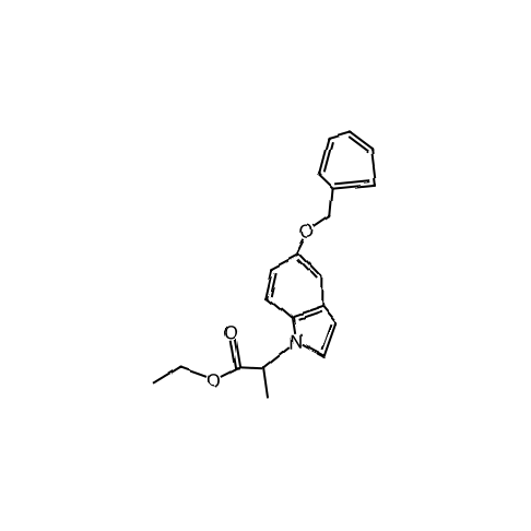 CCOC(=O)C(C)n1ccc2cc(OCc3ccccc3)ccc21